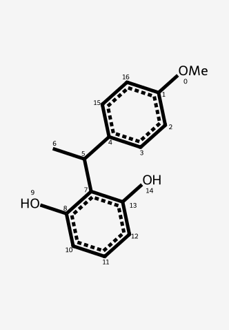 COc1ccc(C(C)c2c(O)cccc2O)cc1